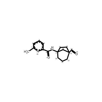 Cc1cccc(C(=O)NC23CCCC(C=O)(CC2)C3)n1